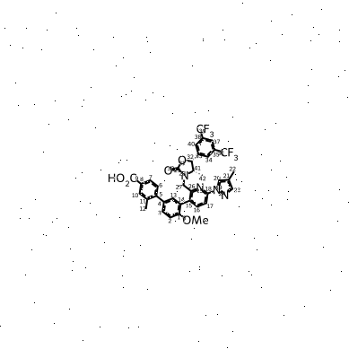 COc1ccc(-c2ccc(C(=O)O)cc2C)cc1-c1ccc(-n2cc(C)cn2)nc1CN1C(=O)O[C@H](c2cc(C(F)(F)F)cc(C(F)(F)F)c2)[C@@H]1C